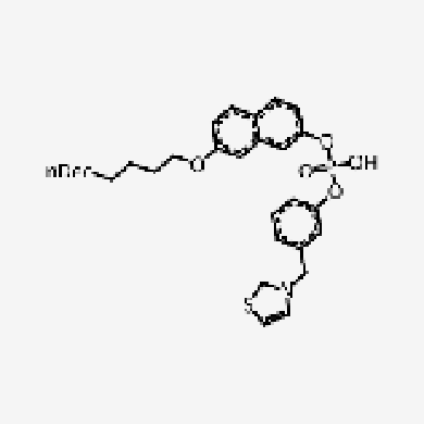 CCCCCCCCCCCCCCOc1ccc2ccc(OP(=O)(O)Oc3cccc(CN4C=CSC4)c3)cc2c1